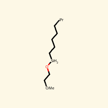 COCCO[SiH2]CCCCCC(C)C